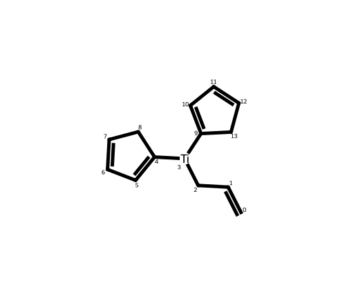 C=C[CH2][Ti]([C]1=CC=CC1)[C]1=CC=CC1